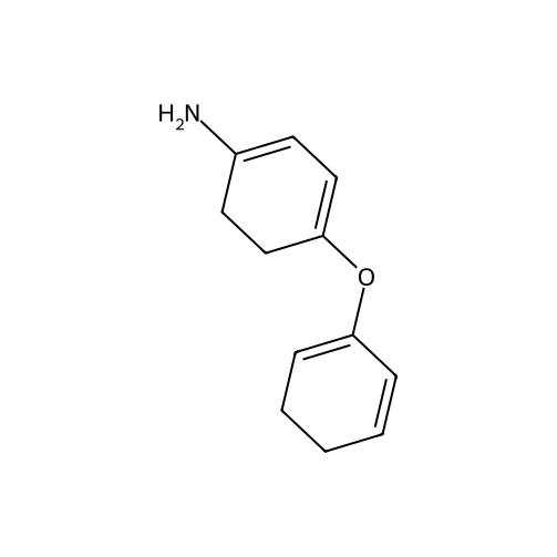 NC1=CC=C(OC2=CCCC=C2)CC1